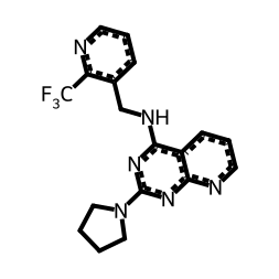 FC(F)(F)c1ncccc1CNc1nc(N2CCCC2)nc2ncccc12